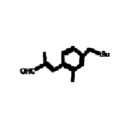 C/C(C=O)=C\c1ccc(CC(C)(C)C)cc1C